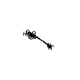 [N-]=[N+]=NCCCCCCCCCCCCc1ccc2c(c1)C(=O)N(C1CCC(=O)NC1=O)C2=O